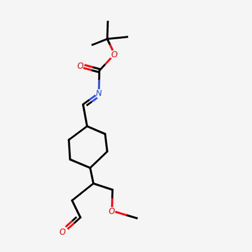 COCC(CC=O)C1CCC(/C=N/C(=O)OC(C)(C)C)CC1